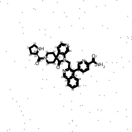 NC(=O)c1ccc(-c2c(CN3C(=O)C4(CCN(C(=O)[C@H]5CCCN5)CC4)c4ccncc43)ncc3ccccc23)cn1